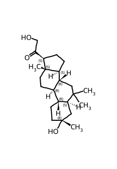 CC1(C)C[C@@H]2[C@H](CC[C@]3(C)[C@@H](C(=O)CO)CC[C@@H]23)[C@H]2CC[C@@](C)(O)C[C@@H]21